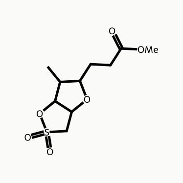 COC(=O)CCC1OC2CS(=O)(=O)OC2C1C